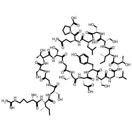 CC[C@H](C)[C@H](NC(=O)[C@@H](NC(=O)[C@H](CC(C)C)NC(=O)[C@H](CO)NC(=O)[C@H](Cc1ccc(O)cc1)NC(=O)[C@H](CC(=O)O)NC(=O)[C@H](CO)NC(=O)CNC(=O)[C@H](CO)NC(=O)[C@@H](NC(=O)[C@H](CO)NC(=O)CNC(=O)[C@H](CO)NC(=O)[C@@H](NC(=O)[C@@H](N)CCCNC(=N)N)[C@@H](C)CC)[C@@H](C)O)[C@@H](C)O)C(=O)N[C@@H](CO)C(=O)N[C@@H](CO)C(=O)N[C@@H](CC(C)C)C(=O)N[C@@H](CCC(N)=O)C(=O)N1CCC[C@H]1C(=O)O